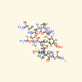 CCC[S+]([O-])CC[C@H](NC(=O)[C@H](CC(N)=O)NC(=O)[C@H](CCC(N)=O)NC(=O)[C@@H](NC(=O)[C@H](N)Cc1ccc(O)cc1)[C@@H](C)CC)C(=O)N(C)CC(=O)NC(C)(C)C(=O)NCC(N)=O